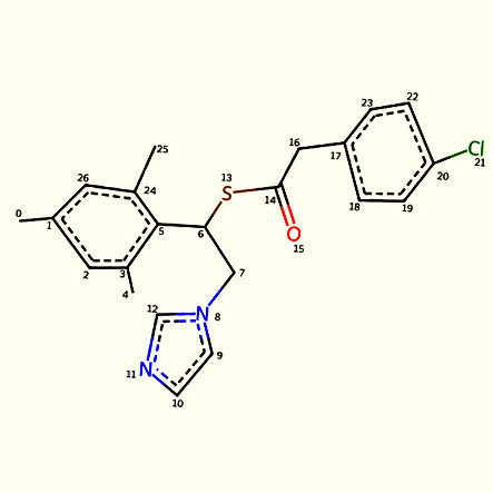 Cc1cc(C)c(C(Cn2ccnc2)SC(=O)Cc2ccc(Cl)cc2)c(C)c1